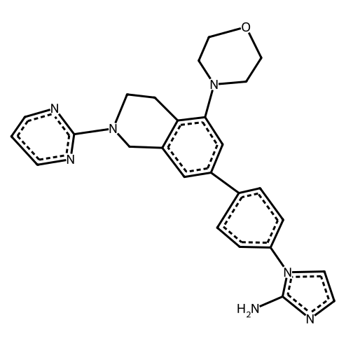 Nc1nccn1-c1ccc(-c2cc3c(c(N4CCOCC4)c2)CCN(c2ncccn2)C3)cc1